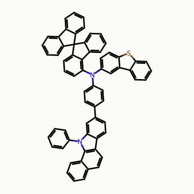 c1ccc(-n2c3cc(-c4ccc(N(c5ccc6sc7ccccc7c6c5)c5cccc6c5-c5ccccc5C65c6ccccc6-c6ccccc65)cc4)ccc3c3ccc4ccccc4c32)cc1